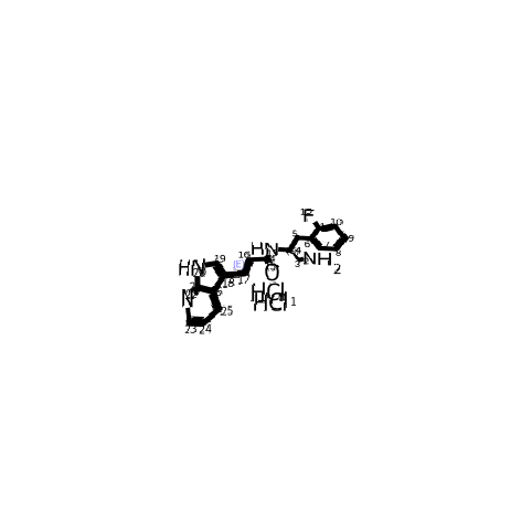 Cl.Cl.NC[C@H](Cc1ccccc1F)NC(=O)/C=C/c1c[nH]c2ncccc12